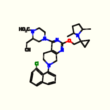 CC1CCC(C)N1C1(COc2nc3c(c(N4CCN(C(=O)O)C(CC#N)C4)n2)CCN(c2cccc4cccc(Cl)c24)C3)CC1